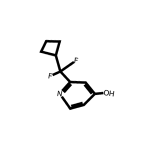 Oc1ccnc(C(F)(F)C2CCC2)c1